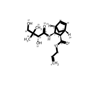 C=CCOC(=O)[C@H]1[C@@H](NC(=O)[C@H](O)C(C)(C)CO)[C@@H]2C=C[C@H]1C2